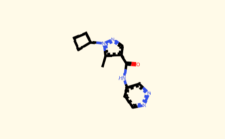 Cc1c(C(=O)Nc2ccnnc2)cnn1C1CCC1